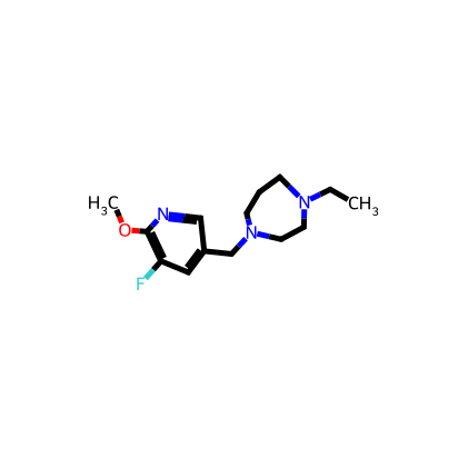 CCN1CCCN(Cc2cnc(OC)c(F)c2)CC1